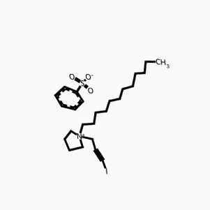 CCCCCCCCCCCC[N+]1(CC#CI)CCCC1.O=S(=O)([O-])c1ccccc1